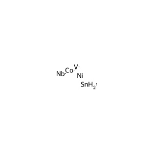 [Co].[Nb].[Ni].[SnH2].[V]